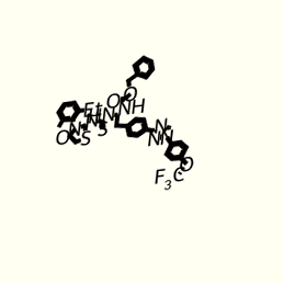 CCc1cccc(C)c1N1C(=O)CS/C1=N\C(=S)NC(Cc1ccc(-c2ncn(-c3ccc(OC(F)(F)F)cc3)n2)cc1)NC(=O)OCc1ccccc1